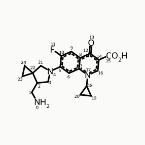 NCC1CN(c2cc3c(cc2F)c(=O)c(C(=O)O)cn3C2CC2)CC12CC2